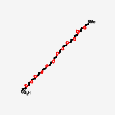 CNCCOCCOCCOCCOCCOCCOCCOCCOCCOCCOCCOCCOCCC(=O)O